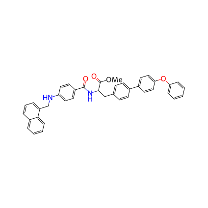 COC(=O)C(Cc1ccc(-c2ccc(Oc3ccccc3)cc2)cc1)NC(=O)c1ccc(NCc2cccc3ccccc23)cc1